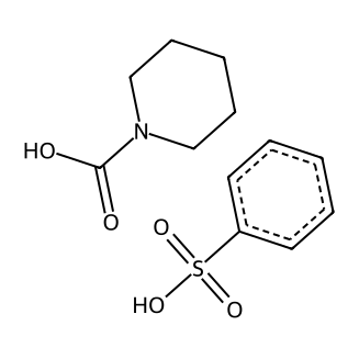 O=C(O)N1CCCCC1.O=S(=O)(O)c1ccccc1